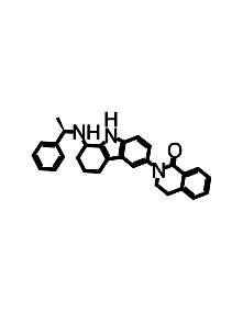 C[C@@H](NC1CCCc2c1[nH]c1ccc(N3CCc4ccccc4C3=O)cc21)c1ccccc1